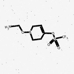 NCOB1CC=C(OS(=O)(=O)C(F)(F)F)CC1